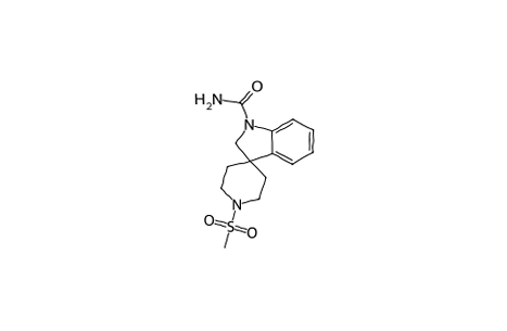 CS(=O)(=O)N1CCC2(CC1)CN(C(N)=O)c1ccccc12